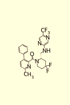 Cc1ccc(-c2ccccc2)c(C(=O)N2CCC(F)(F)C[C@H]2CNc2cnc(C(F)(F)F)cn2)n1